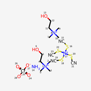 C[N+](C)(C)CCO.C[N+](C)(C)CCO.N.N#CS[N+](SC#N)(SC#N)SC#N.[O]=[Cr](=[O])([O-])[O-]